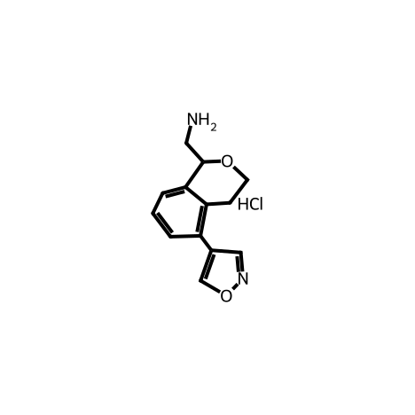 Cl.NCC1OCCc2c(-c3cnoc3)cccc21